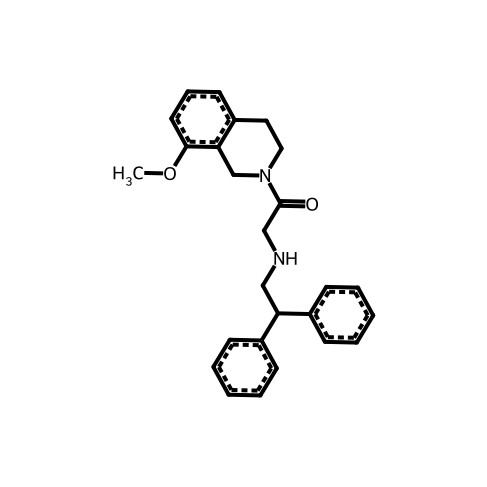 COc1cccc2c1CN(C(=O)CNCC(c1ccccc1)c1ccccc1)CC2